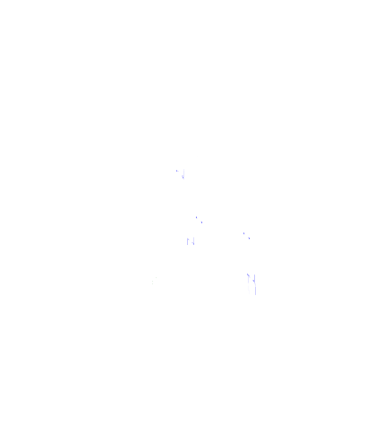 Clc1cccc2c(-n3cccc3)nn(CC3=NCCN3)c12